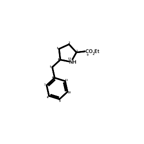 CCOC(=O)C1CCC(Cc2ccccc2)N1